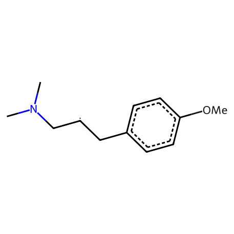 COc1ccc(C[CH]CN(C)C)cc1